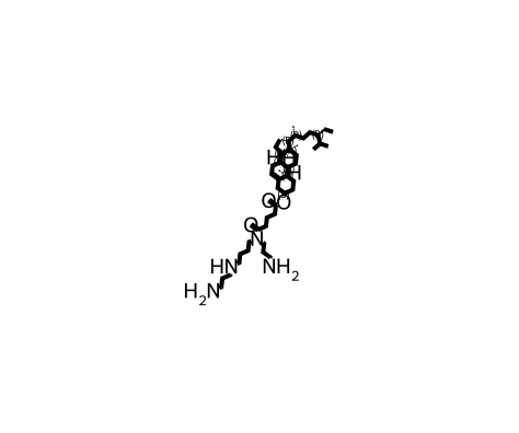 CC[C@H](CC[C@@H](C)[C@H]1CC[C@H]2[C@@H]3CC=C4C[C@@H](OC(=O)CCCC(=O)N(CCCN)CCCCNCCCN)CC[C@]4(C)[C@H]3CC[C@]12C)C(C)C